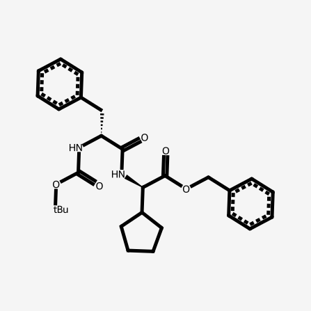 CC(C)(C)OC(=O)N[C@H](Cc1ccccc1)C(=O)N[C@@H](C(=O)OCc1ccccc1)C1CCCC1